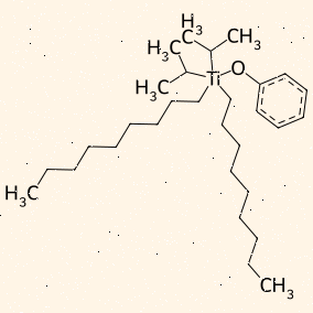 CCCCCCCC[CH2][Ti]([CH2]CCCCCCCC)([O]c1ccccc1)([CH](C)C)[CH](C)C